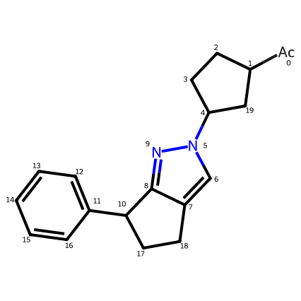 CC(=O)C1CCC(n2cc3c(n2)C(c2ccccc2)CC3)C1